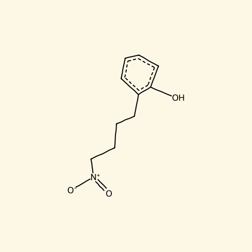 O=[N+]([O-])CCCCc1ccccc1O